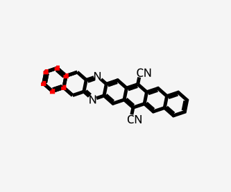 N#Cc1c2cc3ccccc3cc2c(C#N)c2cc3nc4c(nc3cc12)C1c2ccccc2C4c2ccccc21